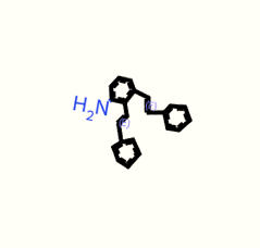 Nc1cccc(/C=C/c2ccccc2)c1/C=C/c1ccccc1